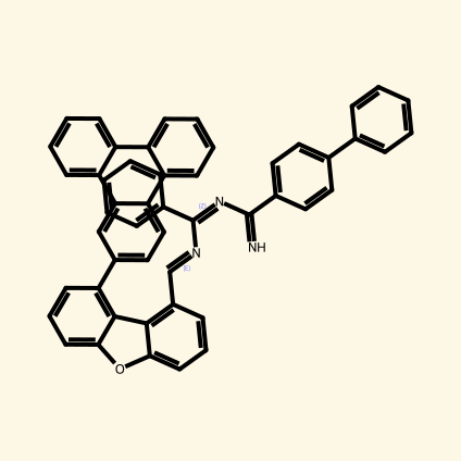 N=C(/N=C(\N=C\c1cccc2oc3cccc(-c4ccc5c6ccccc6c6ccccc6c5c4)c3c12)c1ccccc1)c1ccc(-c2ccccc2)cc1